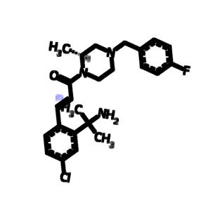 C[C@@H]1CN(Cc2ccc(F)cc2)CCN1C(=O)/C=C/c1ccc(Cl)cc1C(C)(C)N